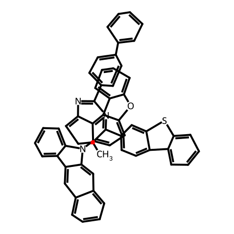 CC1C/C=C(c2c(-n3c4ccccc4c4cc5ccccc5cc43)ccc3oc4ccccc4c23)/N=C(c2ccc(-c3ccccc3)cc2)\N=C/1c1ccc2c(c1)sc1ccccc12